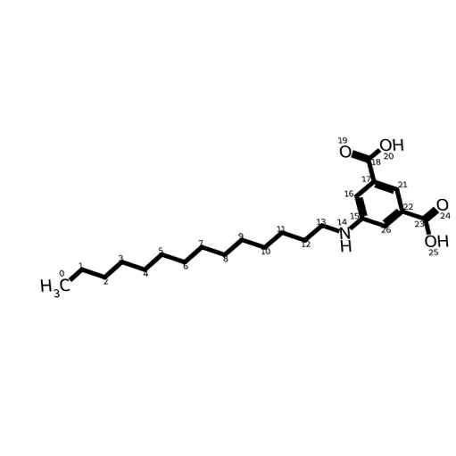 CCCCCCCCCCCCCCNc1cc(C(=O)O)cc(C(=O)O)c1